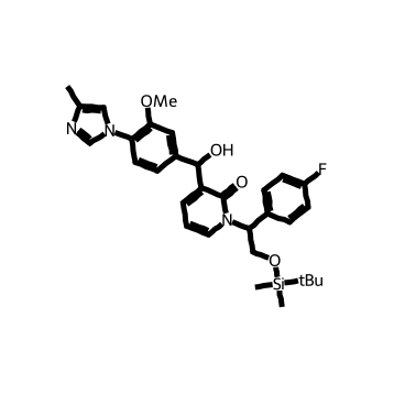 COc1cc(C(O)c2cccn(C(CO[Si](C)(C)C(C)(C)C)c3ccc(F)cc3)c2=O)ccc1-n1cnc(C)c1